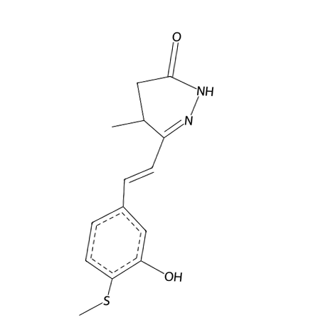 CSc1ccc(C=CC2=NNC(=O)CC2C)cc1O